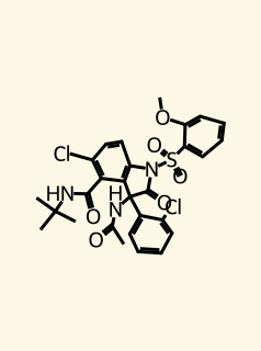 COc1ccccc1S(=O)(=O)N1C(=O)C(NC(C)=O)(c2ccccc2Cl)c2c1ccc(Cl)c2C(=O)NC(C)(C)C